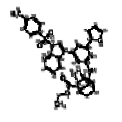 CCOC(=O)[C@@H]1C2CCC(CC2)[C@H]1Nc1nc(-c2ccco2)nc(-c2cn(S(=O)(=O)c3ccc(C)cc3)c3ncncc23)n1